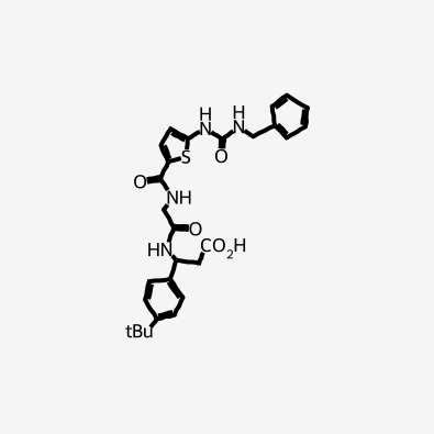 CC(C)(C)c1ccc(C(CC(=O)O)NC(=O)CNC(=O)c2ccc(NC(=O)NCc3ccccc3)s2)cc1